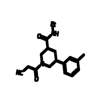 CCNC(=O)C1CC(c2cccc(C)c2)CN(C(=O)CC#N)C1